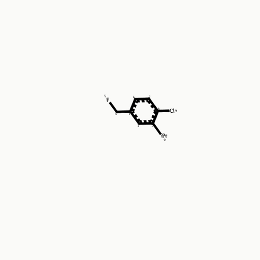 CC(C)c1cc(CF)ccc1Cl